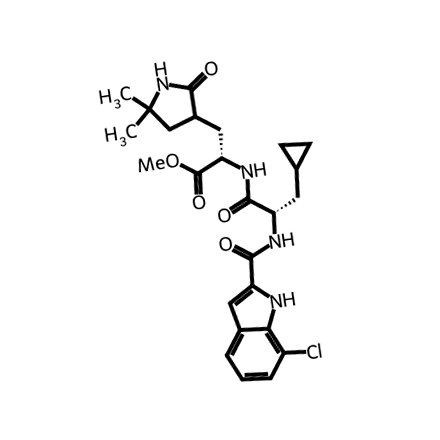 COC(=O)[C@H](CC1CC(C)(C)NC1=O)NC(=O)[C@H](CC1CC1)NC(=O)c1cc2cccc(Cl)c2[nH]1